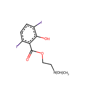 CN(O)CCOC(=O)c1c(I)ccc(I)c1O